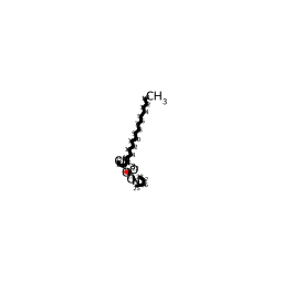 CCCCCCCCCCCCCCCCCC(CC)OC(=O)ON1CCCC1